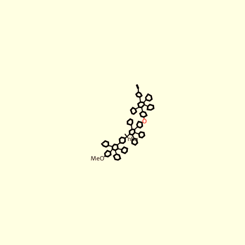 C#Cc1ccc(-c2cc(-c3ccccc3)c(-c3ccc(Oc4ccc(-c5c(-c6ccccc6)cc(C(C)(CCCC)c6ccc(-c7cc(-c8ccccc8)c(-c8ccc(OC)cc8)c(-c8ccccc8)c7-c7ccccc7)cc6)c(-c6ccccc6)c5-c5ccccc5)cc4)cc3)c(-c3ccccc3)c2-c2ccccc2)cc1